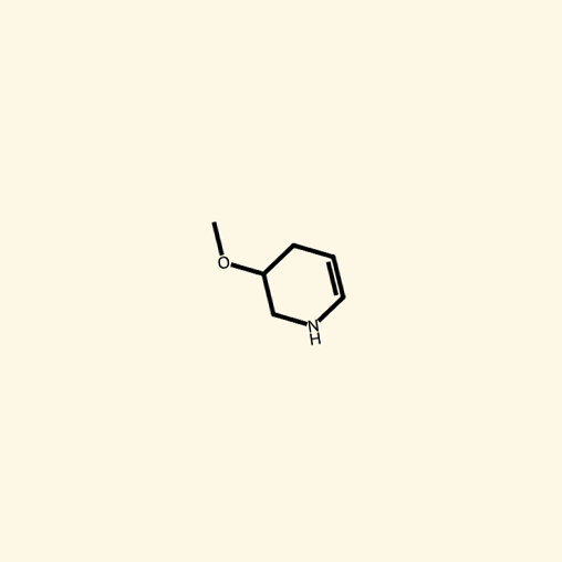 COC1CC=CNC1